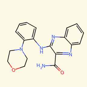 NC(=O)c1nc2ccccc2nc1Nc1ccccc1N1CCOCC1